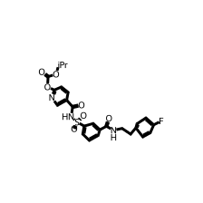 CC(C)OC(=O)Oc1ccc(C(=O)NS(=O)(=O)c2cccc(C(=O)NCCc3ccc(F)cc3)c2)cn1